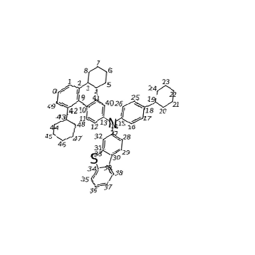 c1cc(C2CCCCC2)c(-c2ccc(N(c3ccc(C4CCCCC4)cc3)c3ccc4c(c3)sc3ccccc34)cc2)c(C2CCCCC2)c1